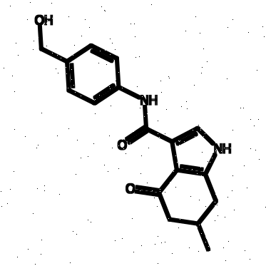 CC1CC(=O)c2c(C(=O)Nc3ccc(CO)cc3)c[nH]c2C1